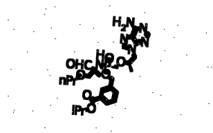 CCCOCC(C)(C=O)N[P@](=O)(CO[C@H](C)Cn1cnc2c(N)ncnc21)OCc1cccc(C(=O)OC(C)C)c1